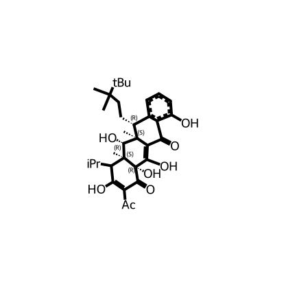 CC(=O)C1=C(O)C(C(C)C)[C@@]2(C)[C@H](O)[C@]3(C)C(=C(O)[C@@]2(O)C1=O)C(=O)c1c(O)cccc1[C@H]3CCC(C)(C)C(C)(C)C